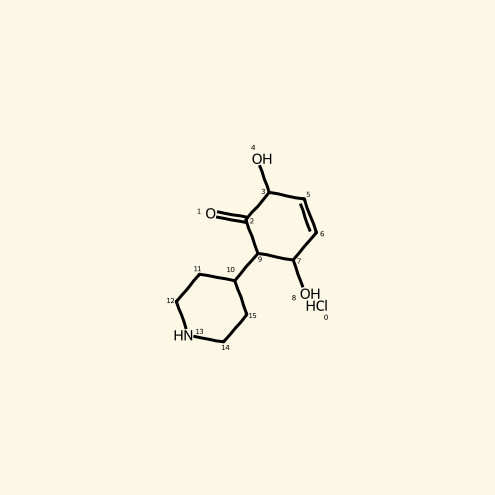 Cl.O=C1C(O)C=CC(O)C1C1CCNCC1